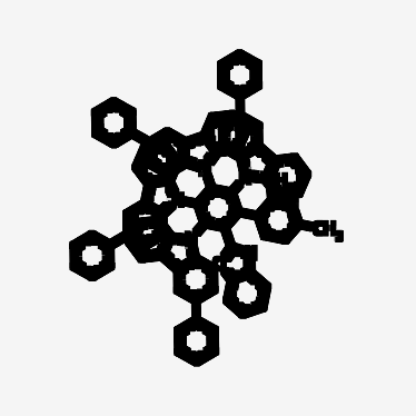 Cc1ccc(-c2c(-c3nc4ccccc4o3)c(-n3c4ccccc4c4cc(-c5ccccc5)ccc43)c(-n3c4ccccc4c4cc(-c5ccccc5)ccc43)c(-n3c4ccccc4c4cc(-c5ccccc5)ccc43)c2-n2c3ccccc3c3cc(-c4ccccc4)ccc32)c(C)n1